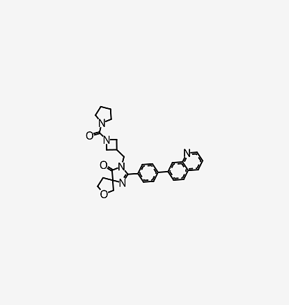 O=C(N1CCCC1)N1CC(CN2C(=O)C3(CCOC3)N=C2c2ccc(-c3ccc4cccnc4c3)cc2)C1